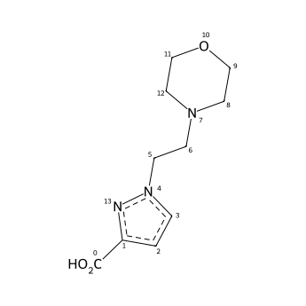 O=C(O)c1ccn(CCN2CCOCC2)n1